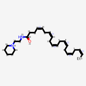 CC/C=C\C/C=C\C/C=C\C/C=C\C/C=C\C/C=C\CCC(=O)NCCN1CCCCC1